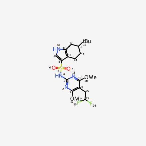 COc1nc(NS(=O)(=O)c2c[nH]c3c2CCC(C(C)(C)C)C3)nc(OC)c1CC(F)F